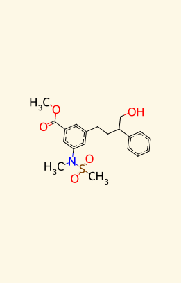 COC(=O)c1cc(CCC(CO)c2ccccc2)cc(N(C)S(C)(=O)=O)c1